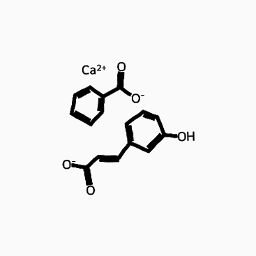 O=C([O-])C=Cc1cccc(O)c1.O=C([O-])c1ccccc1.[Ca+2]